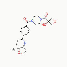 CCCC12CCC(c3ccc(C(=O)N4CCN(C(=O)C5(O)COC5)CC4)cc3)N=C1CCO2